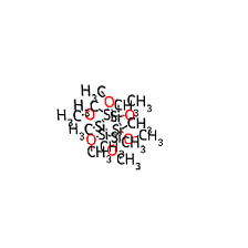 CO[Si]1(C)[Si](C)(OC)[Si](C)(OC)[Si](C)(OC)[Si](C)(OC)[Si]1(C)OC